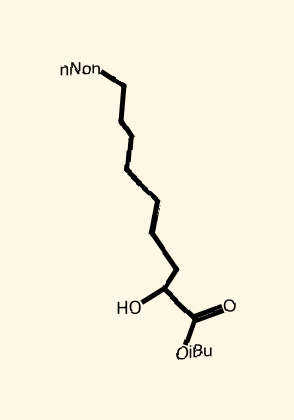 CCCCCCCCCCCCCCCCC(O)C(=O)OCC(C)C